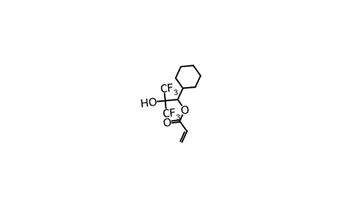 C=CC(=O)OC(C1CCCCC1)C(O)(C(F)(F)F)C(F)(F)F